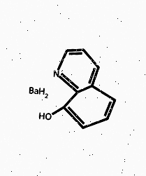 Oc1cccc2cccnc12.[BaH2]